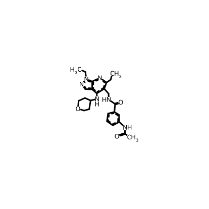 CCc1nc2c(cnn2CC)c(NC2CCOCC2)c1CNC(=O)c1cccc(NC(C)=O)c1